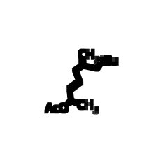 C=C(CC=CC(C)OC(C)=O)CC(C)(C)C